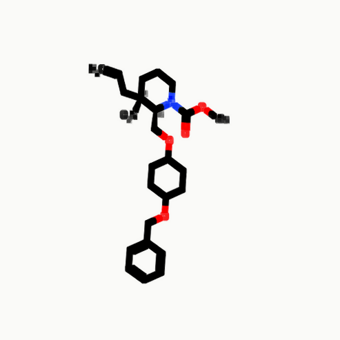 C=CC[C@]1([N+](=O)[O-])CCCN(C(=O)OC(C)(C)C)[C@H]1COC1CCC(OCc2ccccc2)CC1